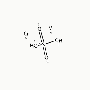 O=S(=O)(O)O.[Cr].[V]